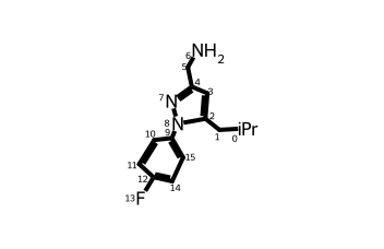 CC(C)Cc1cc(CN)nn1-c1ccc(F)cc1